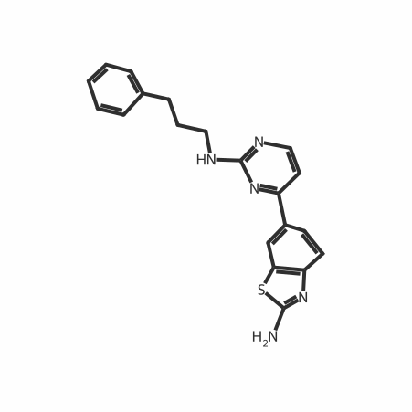 Nc1nc2ccc(-c3ccnc(NCCCc4ccccc4)n3)cc2s1